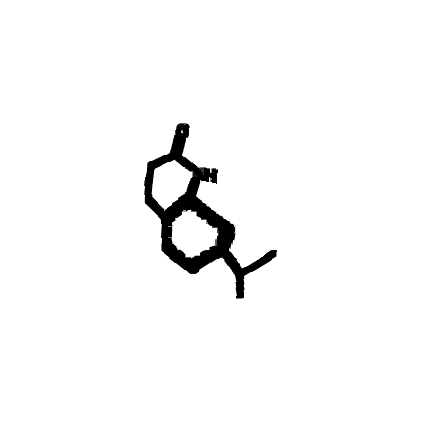 CC(C)c1ccc2c(c1)NC(=O)CC2